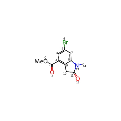 COC(=O)c1cc(Br)cc2c1CC(=O)N2C